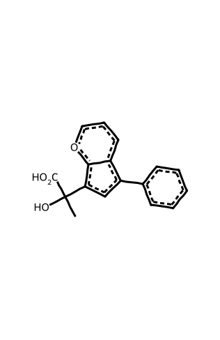 CC(O)(C(=O)O)c1cc(-c2ccccc2)c2cccoc1-2